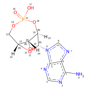 Nc1ncnc2c1ncn2[C@@H]1O[C@@H]2COP(=O)(O)O[C@@H]1[C@@H]2O